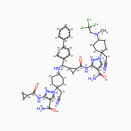 CN(CC(F)(F)F)C1CCC(CC#N)(n2cc(C(N)=O)c(NC(=O)C3CC3C(NC3CCC(CC#N)(n4cc(C(N)=O)c(NC(=O)C5CC5)n4)CC3)c3ccc(-c4ccccc4)cc3)n2)CC1